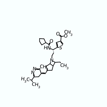 CCC1C2CC(/C=C3/CC(C(C)C)=NN=C3C)CC2N1CC[C@H](NC(=O)C1CCCC1)c1cc(C(=O)OC)cs1